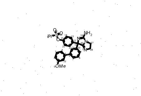 COc1cccc(-c2cccc(C3(c4ccc(OS(=O)(=O)C(C)C)cc4)N=C(N)N4CCN=C43)c2)c1